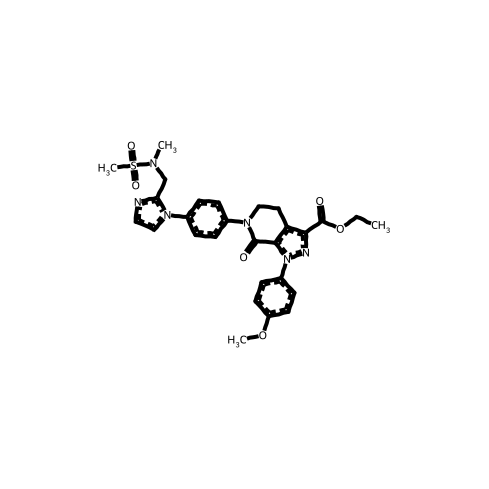 CCOC(=O)c1nn(-c2ccc(OC)cc2)c2c1CCN(c1ccc(-n3ccnc3CN(C)S(C)(=O)=O)cc1)C2=O